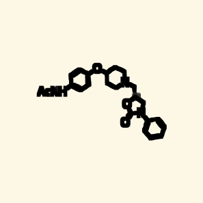 CC(=O)Nc1ccc(OC2CCN(C[C@H]3CN(c4ccccc4)C(=O)O3)CC2)cc1